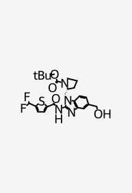 CC(C)(C)OC(=O)N1CCC[C@@H]1Cn1c(NC(=O)c2ccc(C(F)F)s2)nc2cc(CO)ccc21